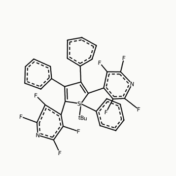 CC(C)(C)[Si]1(c2ccccc2)C(c2c(F)c(F)nc(F)c2F)=C(c2ccccc2)C(c2ccccc2)=C1c1c(F)c(F)nc(F)c1F